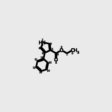 CCOC(=O)c1c[nH]cc1-c1ccccc1